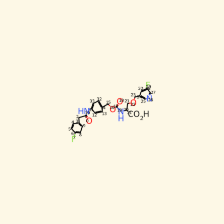 O=C(Cc1ccc(F)cc1)Nc1ccc(COC(=O)NC(COCc2cncc(F)c2)C(=O)O)cc1